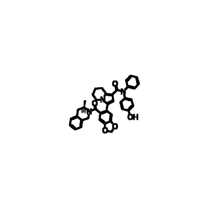 C[C@@H]1Cc2ccccc2CN1C(=O)c1cc2c(cc1-c1cc(C(=O)N(c3ccccc3)c3ccc(O)cc3)c3n1CCCC3)OCO2